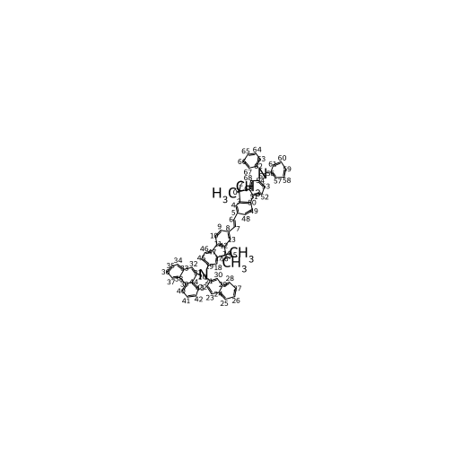 CC1(C)c2cc(/C=C/c3ccc4c(c3)C(C)(C)c3cc(N(c5ccc6ccccc6c5)c5cc6ccccc6c6ccccc56)ccc3-4)ccc2-c2ccc(N(c3ccccc3)c3ccccc3)cc21